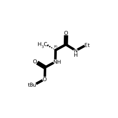 CCNC(=O)[C@@H](C)NC(=O)OC(C)(C)C